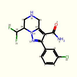 NC(=O)c1c(-c2cccc(Cl)c2)nn2c1CNCC2C(F)F